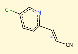 N#C/C=C/c1ccc(Cl)cn1